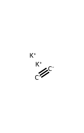 [C-]#[C-].[K+].[K+]